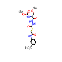 CCCCOC[C@H](NC(=O)OC(C)(C)C)C(=O)NNC(=O)SCC(=O)Nc1cccc(C(=O)OCC)c1